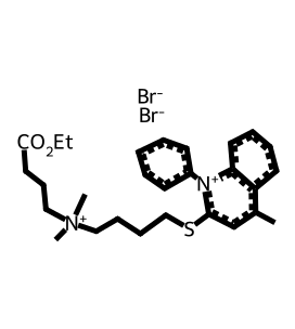 CCOC(=O)CCC[N+](C)(C)CCCCSc1cc(C)c2ccccc2[n+]1-c1ccccc1.[Br-].[Br-]